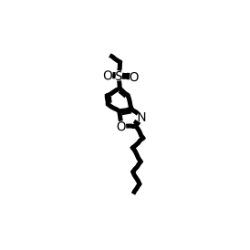 CCCCCCc1nc2cc(S(=O)(=O)CC)ccc2o1